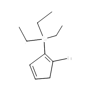 [Li][C]1=C([Si](CC)(CC)CC)C=CC1